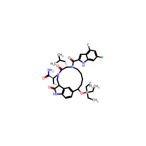 CC[Si](CC)(CC)OC1CCCCN(C(=O)c2cc3c(F)cc(F)cc3[nH]2)[C@@H](CC(C)C)C(=O)N2C[C@]3(C[C@H]2C(N)=O)C(=O)Nc2ccc1cc23